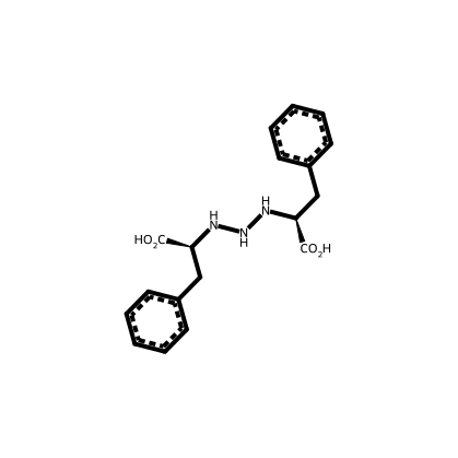 O=C(O)[C@H](Cc1ccccc1)NNN[C@@H](Cc1ccccc1)C(=O)O